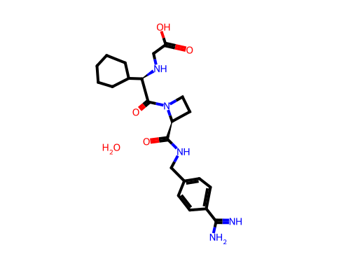 N=C(N)c1ccc(CNC(=O)[C@@H]2CCN2C(=O)[C@H](NCC(=O)O)C2CCCCC2)cc1.O